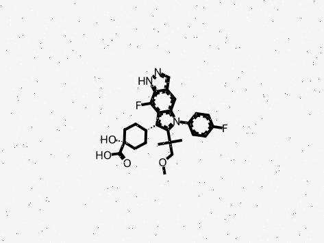 COCC(C)(C)c1c([C@H]2CC[C@](O)(C(=O)O)CC2)c2c(F)c3[nH]ncc3cc2n1-c1ccc(F)cc1